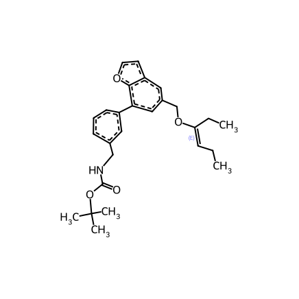 CC/C=C(\CC)OCc1cc(-c2cccc(CNC(=O)OC(C)(C)C)c2)c2occc2c1